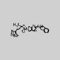 CC(CCc1c[nH]nn1)OC(=O)N1Cc2cnc(NC3Cc4ccccc4C3)nc2C1